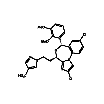 COc1cccc([C@H]2O[C@H](CCn3cc(C(=O)O)cn3)c3nc(Cl)cn3-c3ccc(Cl)cc32)c1OC